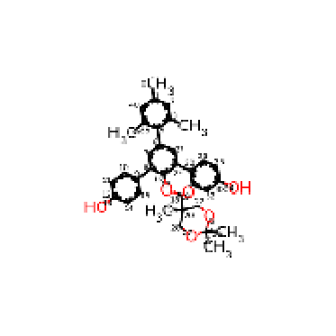 Cc1cc(C)c(-c2cc(-c3ccc(O)cc3)c(OC(=O)C3(C)COC(C)(C)OC3)c(-c3ccc(O)cc3)c2)c(C)c1